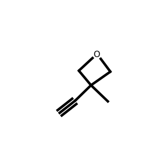 C#CC1(C)COC1